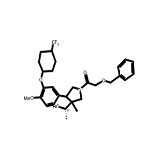 COc1ccc(C2CN(C(=O)COCc3ccccc3)CC2(C)[C@H](C)O)cc1OC1CCC(C(F)(F)F)CC1